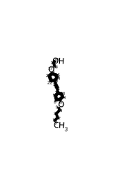 CCCCCCOc1ccc(C#Cc2ccc(OCCO)cc2)cc1